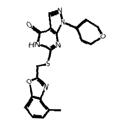 Cc1cccc2oc(CSc3nc4c(cnn4C4CCOCC4)c(=O)[nH]3)nc12